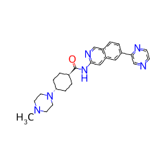 CN1CCN([C@H]2CC[C@H](C(=O)Nc3cc4cc(-c5cnccn5)ccc4cn3)CC2)CC1